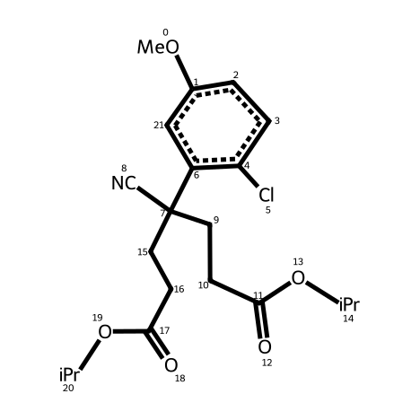 COc1ccc(Cl)c(C(C#N)(CCC(=O)OC(C)C)CCC(=O)OC(C)C)c1